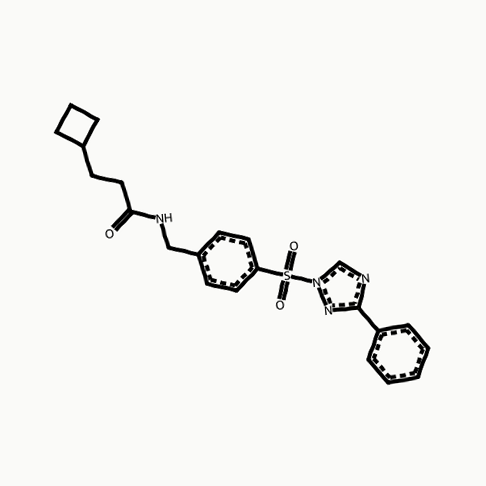 O=C(CCC1CCC1)NCc1ccc(S(=O)(=O)n2cnc(-c3ccccc3)n2)cc1